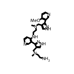 COc1ccncc1-c1n[nH]cc1CN(C)CCNc1ccncc1-c1n[nH]cc1CN(C)CCN